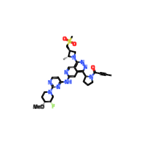 CC#CC(=O)N1CCCC1c1nnc(N2C[C@H](CS(C)(=O)=O)[C@H]2C)c2cnc(Nc3ccnc(N4CC[C@@H](OC)[C@@H](F)C4)n3)cc12